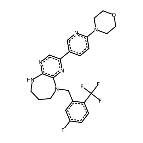 Fc1ccc(C(F)(F)F)c(CN2CCCNc3ncc(-c4ccc(N5CCOCC5)nc4)nc32)c1